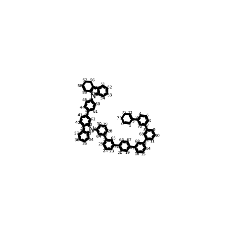 C1=CC(c2cccc(-c3cccc(-c4cccc(-c5ccc(-c6cccc(-c7cccc(-n8c9ccccc9c9ccc(-c%10ccc(-n%11c%12c(c%13ccccc%13%11)CCC=C%12)cc%10)cc98)c7)c6)cc5)c4)c3)c2)=CCC1